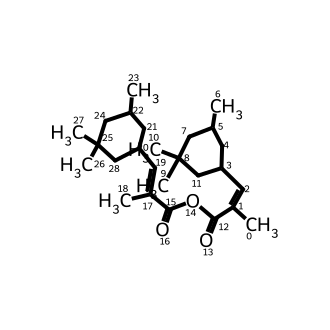 CC(=CC1CC(C)CC(C)(C)C1)C(=O)OC(=O)C(C)=CC1CC(C)CC(C)(C)C1